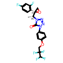 C[C@@H](n1nnn(-c2ccc(OCC(F)(F)C(F)F)cc2)c1=O)[C@@]1(c2ccc(F)cc2F)CO1